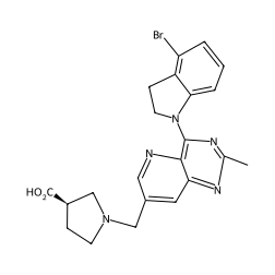 Cc1nc(N2CCc3c(Br)cccc32)c2ncc(CN3CC[C@@H](C(=O)O)C3)cc2n1